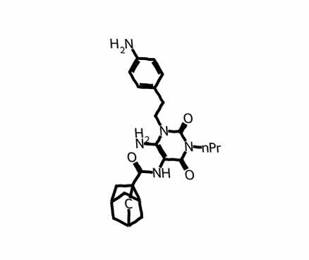 CCCn1c(=O)c(NC(=O)C23CC4CC(CC2C4)C3)c(N)n(CCc2ccc(N)cc2)c1=O